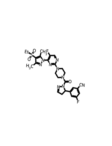 CCS(=O)(=O)c1c(C)nn(-c2nc(N3CCN(C(=O)N4N=CCC4c4cc(F)cc(C#N)c4)CC3)ncc2F)c1C